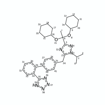 CC(C)n1nc(C(C)(OC2CCCCC2)OC2CCCCC2)nc1Cc1ccc(-c2ccccc2-c2nnn[nH]2)cc1